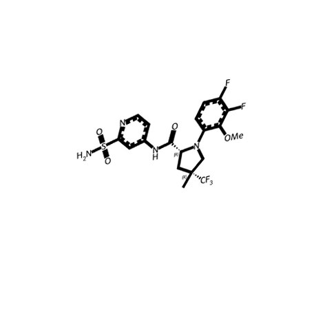 COc1c(N2C[C@](C)(C(F)(F)F)C[C@@H]2C(=O)Nc2ccnc(S(N)(=O)=O)c2)ccc(F)c1F